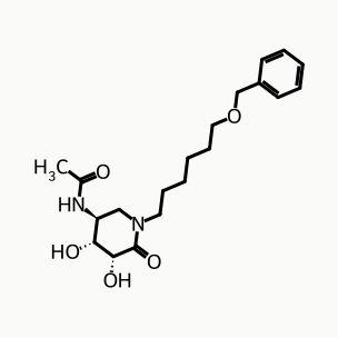 CC(=O)N[C@H]1CN(CCCCCCOCc2ccccc2)C(=O)[C@H](O)[C@@H]1O